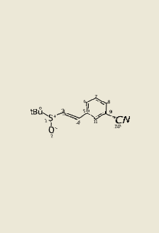 CC(C)(C)[S+]([O-])/C=C/c1cccc(C#N)c1